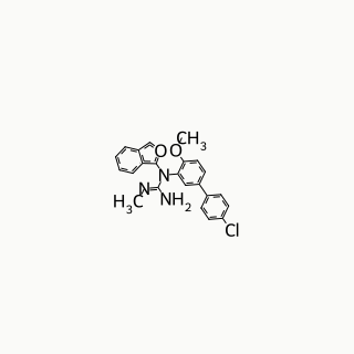 CN=C(N)N(c1cc(-c2ccc(Cl)cc2)ccc1OC)c1occ2ccccc12